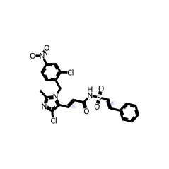 Cc1nc(Cl)c(/C=C/C(=O)NS(=O)(=O)/C=C/c2ccccc2)n1Cc1ccc([N+](=O)[O-])cc1Cl